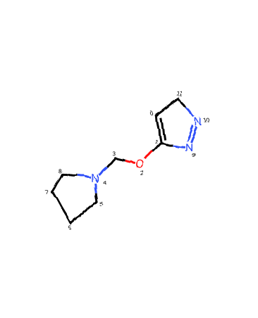 C1=C(OCN2CCCC2)N=NC1